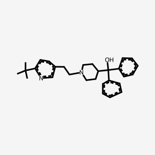 CC(C)(C)c1ccc(CCN2CCC(C(O)(c3ccccc3)c3ccccc3)CC2)cn1